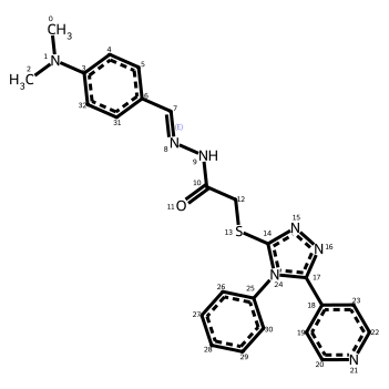 CN(C)c1ccc(/C=N/NC(=O)CSc2nnc(-c3ccncc3)n2-c2ccccc2)cc1